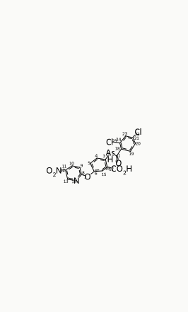 O=C([AsH]c1ccc(Oc2ccc([N+](=O)[O-])cn2)cc1C(=O)O)c1ccc(Cl)cc1Cl